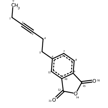 CCC#CCCc1ccc2c(c1)C(=O)OC2=O